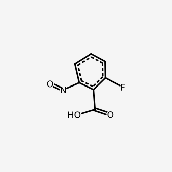 O=Nc1cccc(F)c1C(=O)O